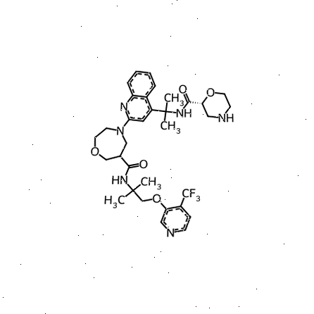 CC(C)(COc1cnccc1C(F)(F)F)NC(=O)C1COCCN(c2cc(C(C)(C)NC(=O)[C@H]3CNCCO3)c3ccccc3n2)C1